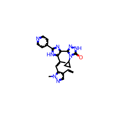 C=Cc1cnn(C)c1/C=C(\C)c1[nH]c(-c2ccncc2)nc1-c1n[nH]c(=O)n1C1CC1